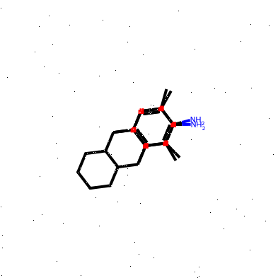 Cc1cc2c(c(C)c1N)C1c3c(cc(C)c(N)c3C)C2C2CCCCC12